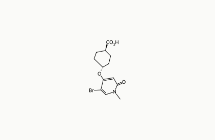 Cn1cc(Br)c(O[C@H]2CC[C@H](C(=O)O)CC2)cc1=O